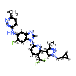 Cc1ccc(Nc2cc3ncn(-c4ccc(C(F)F)c(-c5cn(CC6CC6)nc5C)n4)c3cc2F)nn1